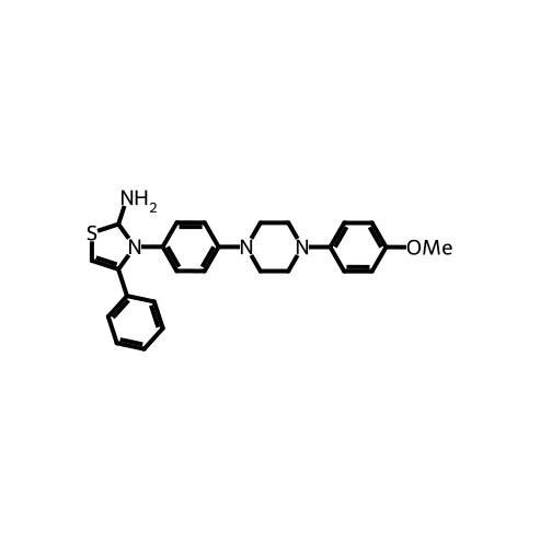 COc1ccc(N2CCN(c3ccc(N4C(c5ccccc5)=CSC4N)cc3)CC2)cc1